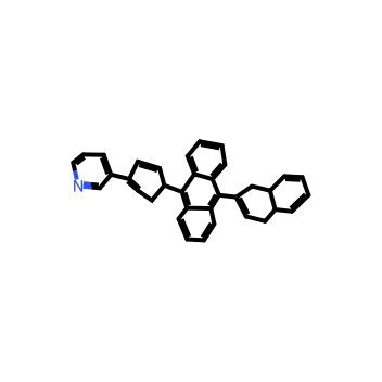 C1=CC2CC=C(c3c4ccccc4c(C4C=CC(c5cccnc5)=CC4)c4ccccc34)CC2C=C1